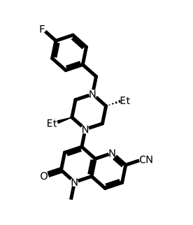 CC[C@@H]1CN(c2cc(=O)n(C)c3ccc(C#N)nc23)[C@@H](CC)CN1Cc1ccc(F)cc1